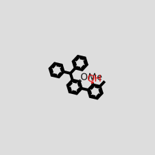 COc1c(-c2cccc(C)c2O)cccc1C(c1ccccc1)c1ccccc1